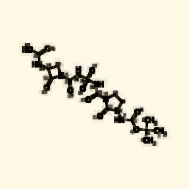 CC(C)(C)OC(=O)NN1CCN(C(=O)NS(=O)(=O)NC(=O)N2CC(NC(=O)O)C2=O)C1=O